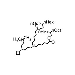 CCCCCCCCC(CCCCCC)COC(=O)CCCCCN(CCCCCC(=O)OCC(CCCCCC)CCCCCCCC)CCCN(CCN(C)C)C1CCC1